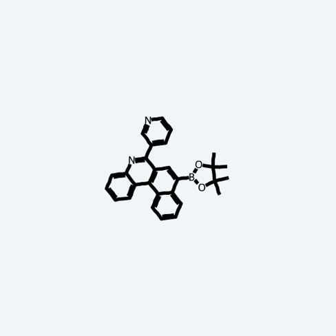 CC1(C)OB(c2cc3c(-c4cccnc4)nc4ccccc4c3c3ccccc23)OC1(C)C